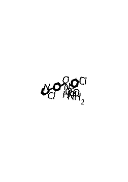 NS(=O)(=O)c1cc(Cl)ccc1NC(=O)c1ccc(-c2ncccc2Cl)cc1